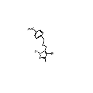 CCn1nc(C)c(Br)c1COCc1ccc(OC)cc1